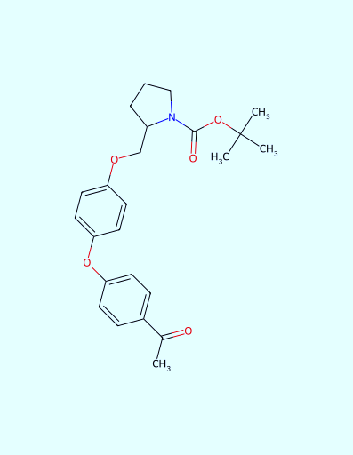 CC(=O)c1ccc(Oc2ccc(OCC3CCCN3C(=O)OC(C)(C)C)cc2)cc1